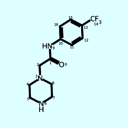 O=C(CN1CCNCC1)Nc1ccc(C(F)(F)F)cc1